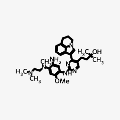 COc1cc(N(C)CCN(C)C)c(N)cc1Nc1ncc(CCC(C)(C)O)c(-c2cn3c4c(cccc24)CCC3)n1